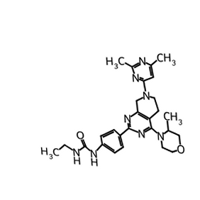 CCNC(=O)Nc1ccc(-c2nc3c(c(N4CCOCC4C)n2)CCN(c2cc(C)nc(C)n2)C3)cc1